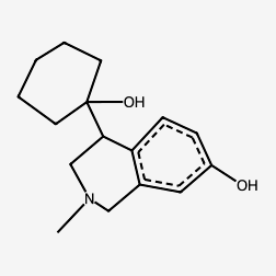 CN1Cc2cc(O)ccc2C(C2(O)CCCCC2)C1